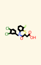 O=C(O)CC1Sc2c(F)cccc2N(Cc2ccc(Cl)c(Cl)c2)C1=O